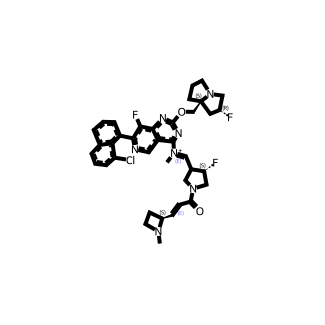 CN1CC[C@H]1/C=C/C(=O)N1CC(/C=[N+](\C)c2nc(OC[C@@]34CCCN3C[C@H](F)C4)nc3c(F)c(-c4cccc5cccc(Cl)c45)ncc23)[C@H](F)C1